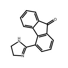 O=C1c2ccccc2-c2c1cccc2C1=NCCN1